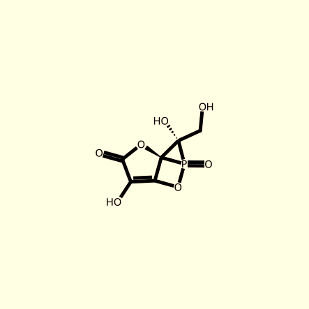 O=C1O[C@]23C(=C1O)OP2(=O)[C@]3(O)CO